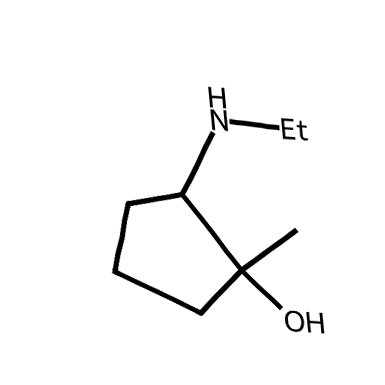 CCNC1CCCC1(C)O